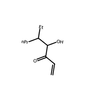 C=CC(=O)C(O)[C](CC)CCC